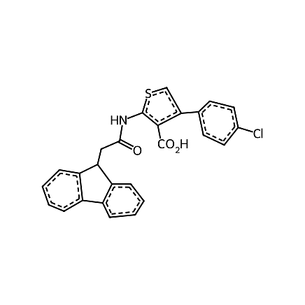 O=C(CC1c2ccccc2-c2ccccc21)Nc1scc(-c2ccc(Cl)cc2)c1C(=O)O